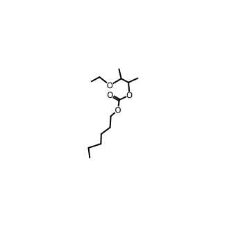 CCCCCCOC(=O)OC(C)C(C)OCC